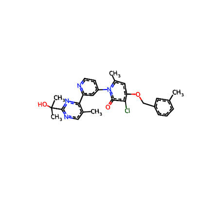 Cc1cccc(COc2cc(C)n(-c3ccnc(-c4nc(C(C)(C)O)ncc4C)c3)c(=O)c2Cl)c1